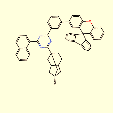 c1cc(-c2ccc3c(c2)C2(c4ccccc4O3)c3ccccc3-c3ccccc32)cc(-c2nc(-c3cccc4ccccc34)nc(C34CCC5C[C@H](CC5C3)C4)n2)c1